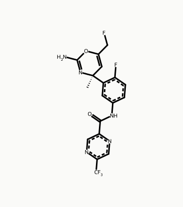 C[C@@]1(c2cc(NC(=O)c3cnc(C(F)(F)F)cn3)ccc2F)C=C(CF)OC(N)=N1